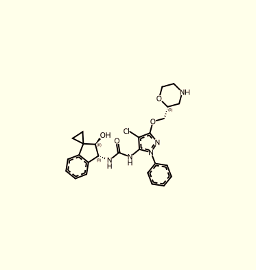 O=C(Nc1c(Cl)c(OC[C@H]2CNCCO2)nn1-c1ccccc1)N[C@@H]1c2ccccc2C2(CC2)[C@H]1O